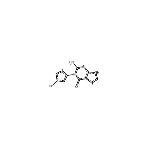 Nc1nc2[nH]cnc2c(=O)n1-c1cc(Br)cs1